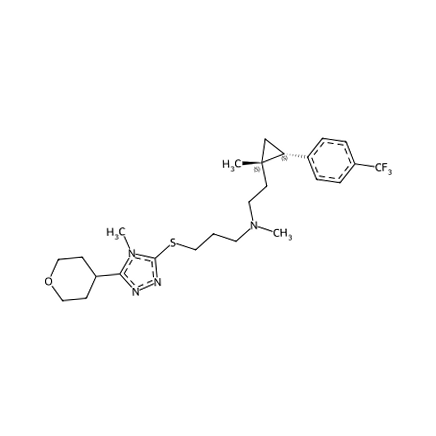 CN(CCCSc1nnc(C2CCOCC2)n1C)CC[C@]1(C)C[C@@H]1c1ccc(C(F)(F)F)cc1